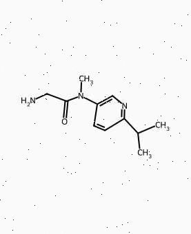 CC(C)c1ccc(N(C)C(=O)CN)cn1